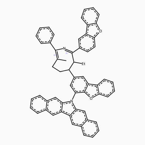 CCC1/C(c2ccc3oc4ccccc4c3c2)=N\C(c2ccccc2)=C(/C)CCC1c1cc(-n2c3cc4ccccc4cc3c3cc4ccccc4cc32)c2oc3ccccc3c2c1